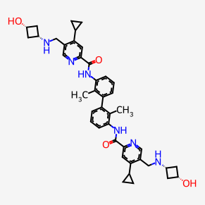 Cc1c(NC(=O)c2cc(C3CC3)c(CN[C@H]3C[C@@H](O)C3)cn2)cccc1-c1cccc(NC(=O)c2cc(C3CC3)c(CN[C@H]3C[C@@H](O)C3)cn2)c1C